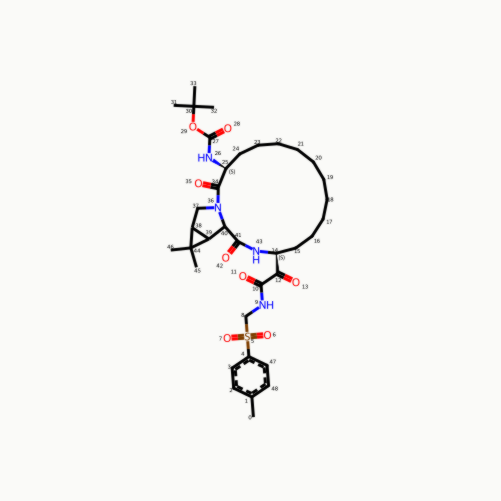 Cc1ccc(S(=O)(=O)CNC(=O)C(=O)[C@@H]2CCCCCCCCCC[C@H](NC(=O)OC(C)(C)C)C(=O)N3CC4C(C3C(=O)N2)C4(C)C)cc1